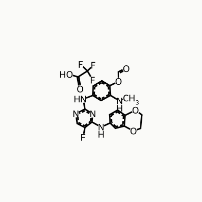 CNc1cc(Nc2ncc(F)c(Nc3ccc4c(c3)OCCO4)n2)ccc1OC=O.O=C(O)C(F)(F)F